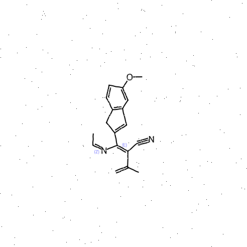 C=C(C)/C(C#N)=C(\N=C/C)C1=Cc2cc(OC)ccc2C1